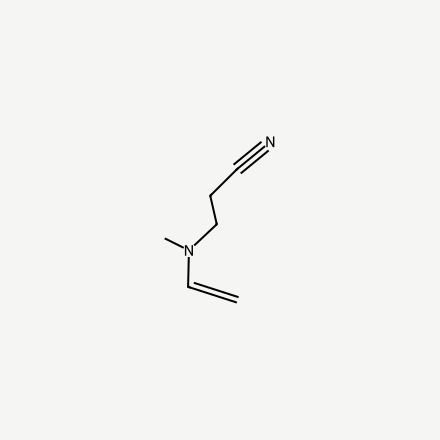 C=CN(C)CCC#N